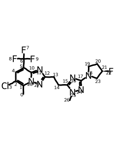 Cc1c(Cl)cc(C(F)(F)F)c2nc(CCc3nc(N4CC[C@@H](F)C4)nn3C)nn12